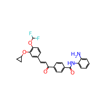 Nc1ccccc1NC(=O)c1ccc(C(=O)/C=C/c2ccc(OC(F)F)c(OC3CC3)c2)cc1